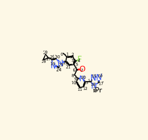 Cc1cc(F)c(C(=O)Cc2cccc(-c3nncn3C(C)C)n2)cc1-n1cnc(C2CC2)c1